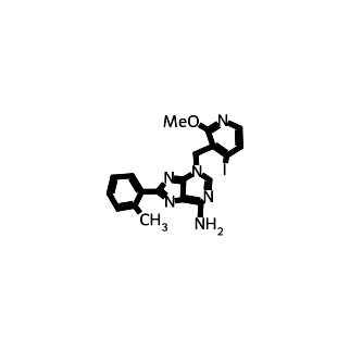 COc1nccc(I)c1Cn1cnc(N)c2nc(-c3ccccc3C)nc1-2